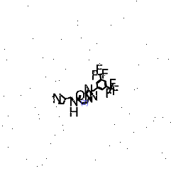 CN1CCC(CNC(=O)/C=C\n2cnc(-c3cc(C(F)(F)F)cc(C(F)(F)F)c3)n2)C1